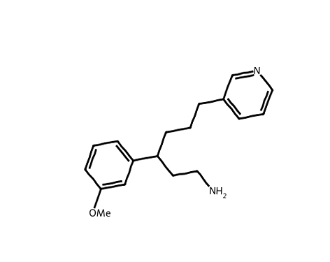 COc1cccc(C(CCN)CCCc2cccnc2)c1